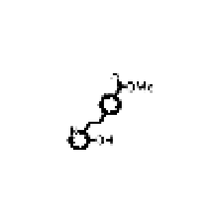 COC(=O)c1ccc(CCc2ncccc2O)cc1